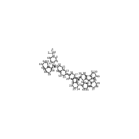 CC(C)(C)c1ccc(N(c2ccc3cc(-c4ccc5c(c4)c4ccccc4n5-c4ccc5c(c4)C(c4ccccc4)(c4ccccc4)c4ccccc4-5)ccc3c2)c2cccc3ccccc23)cc1